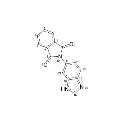 O=C1c2ccccc2C(=O)N1c1ccc2nc[nH]c2c1